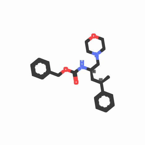 C[C@H](C[C@H](CN1CCOCC1)NC(=O)OCc1ccccc1)c1ccccc1